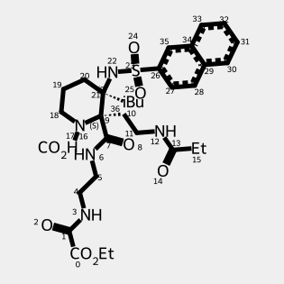 CCOC(=O)C(=O)NCCNC(=O)[C@@]1(CCNC(=O)CC)N(C(=O)O)CCC[C@]1(NS(=O)(=O)c1ccc2ccccc2c1)C(C)CC